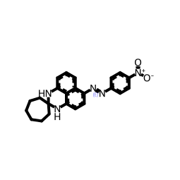 O=[N+]([O-])c1ccc(/N=N/c2ccc3c4c(cccc24)NC2(CCCCCC2)N3)cc1